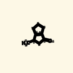 CC1CC(=O)C2=C1CCC2